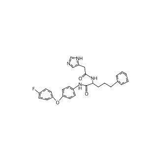 O=C(Cc1cnc[nH]1)NC(CCCc1ccccc1)C(=O)Nc1ccc(Oc2ccc(F)cc2)cc1